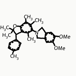 COc1cc2c(cc1OC)CN(c1c(C)c(C)c3c(c1C)C(c1ccc(C)cc1)C(C)(C)O3)C2